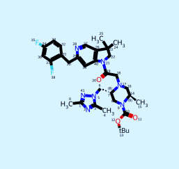 Cc1nc(C)n(C[C@H]2CN(C(=O)OC(C)(C)C)[C@H](C)CN2CC(=O)N2CC(C)(C)c3cnc(Cc4ccc(F)cc4F)cc32)n1